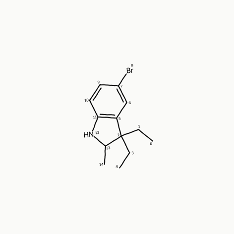 CCC1(CC)c2cc(Br)ccc2NC1C